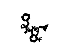 CN(C(=O)Cc1ccccc1)C(=NOCC1CC1)c1cccc(F)c1F